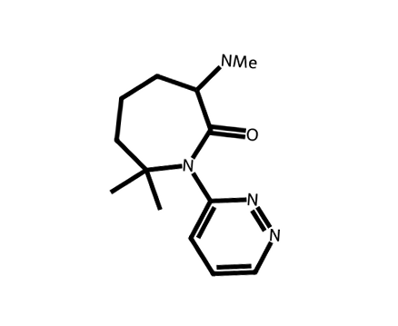 CNC1CCCC(C)(C)N(c2cccnn2)C1=O